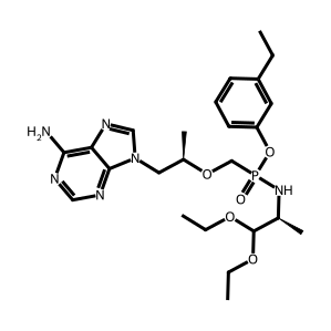 CCOC(OCC)[C@H](C)NP(=O)(CO[C@H](C)Cn1cnc2c(N)ncnc21)Oc1cccc(CC)c1